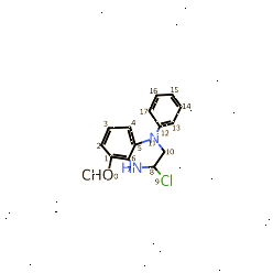 O=Cc1cccc2c1NC(Cl)CN2c1ccccc1